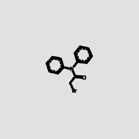 O=C(CBr)N(c1ccccc1)c1ccccc1